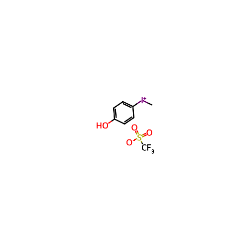 C[I+]c1ccc(O)cc1.O=S(=O)([O-])C(F)(F)F